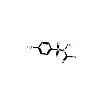 Cc1ccc(S(=O)(=O)N(C)C(=O)C(C)(C)C)cc1